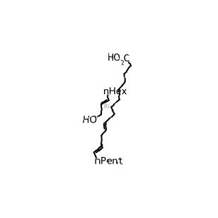 CCCCCC/C=C/CO.CCCCCC=CCC=CCCCCCCCC(=O)O